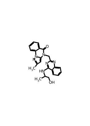 Cc1cc2n(Cc3nc(NC(C)CO)c4ccccc4n3)c(=O)c3ccccc3n2n1